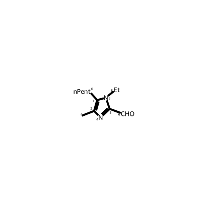 CCCCCc1c(C)nc(C=O)n1CC